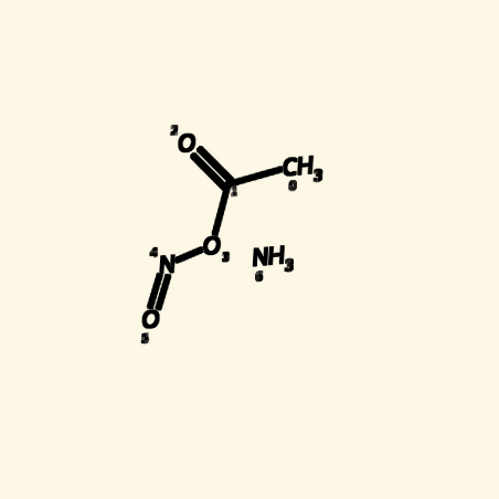 CC(=O)ON=O.N